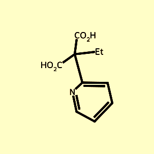 CCC(C(=O)O)(C(=O)O)c1ccccn1